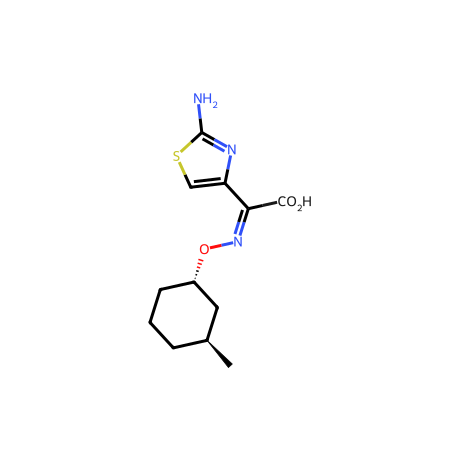 C[C@H]1CCC[C@H](ON=C(C(=O)O)c2csc(N)n2)C1